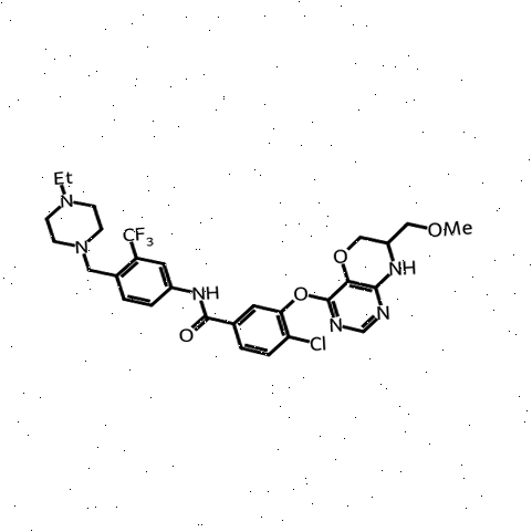 CCN1CCN(Cc2ccc(NC(=O)c3ccc(Cl)c(Oc4ncnc5c4OCC(COC)N5)c3)cc2C(F)(F)F)CC1